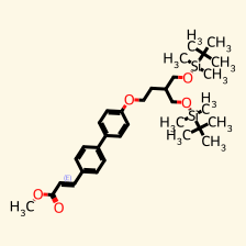 COC(=O)/C=C/c1ccc(-c2ccc(OCCC(CO[Si](C)(C)C(C)(C)C)CO[Si](C)(C)C(C)(C)C)cc2)cc1